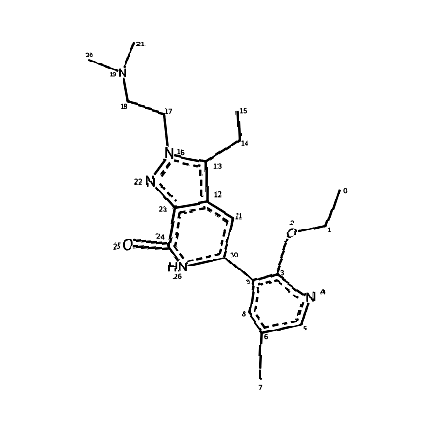 CCOc1ncc(I)cc1-c1cc2c(CC)n(CCN(C)C)nc2c(=O)[nH]1